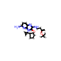 C=C(CCNc1nc2ccc(N)nc2n(C2(C3CCCC3)CC2)c1=O)OC(C)(C)C